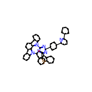 c1ccc(-c2cccc(-c3ccc(-c4nc(-c5ccccc5)nc(-n5c6ccccc6c6ccc7c8ccccc8n(-c8ccc9c(c8)sc8ccccc89)c7c65)n4)cc3)n2)cc1